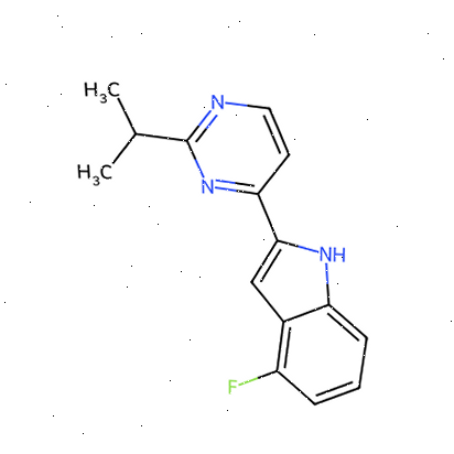 CC(C)c1nccc(-c2cc3c(F)cccc3[nH]2)n1